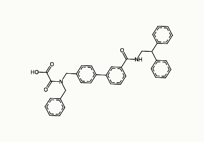 O=C(O)C(=O)N(Cc1ccccc1)Cc1ccc(-c2cccc(C(=O)NCC(c3ccccc3)c3ccccc3)c2)cc1